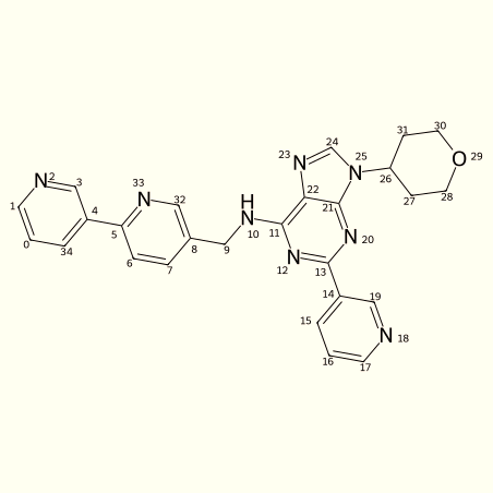 c1cncc(-c2ccc(CNc3nc(-c4cccnc4)nc4c3ncn4C3CCOCC3)cn2)c1